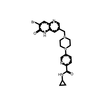 O=C(NC1CC1)c1ccc(N2CCN(Cc3cnc4cc(Br)c(=O)[nH]c4c3)CC2)cn1